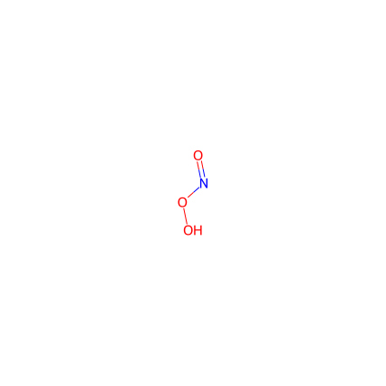 O=NOO